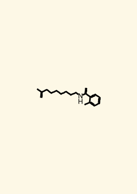 C=C(C)CCCCCCCNC(=C)c1ccccc1C